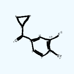 CCc1ccc(C(=O)C2CC2)cc1F